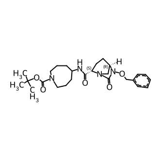 CC(C)(C)OC(=O)N1CCCC(NC(=O)[C@@H]2CC[C@@H]3CN2C(=O)N3OCc2ccccc2)CCC1